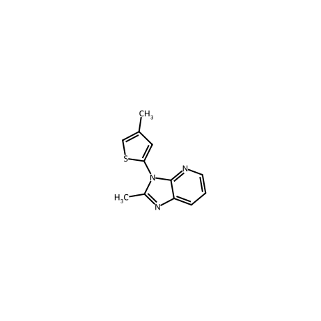 Cc1csc(-n2c(C)nc3cccnc32)c1